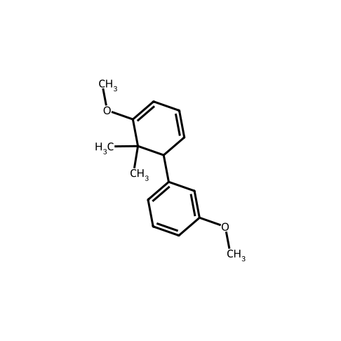 COC1=CC=CC(c2cccc(OC)c2)C1(C)C